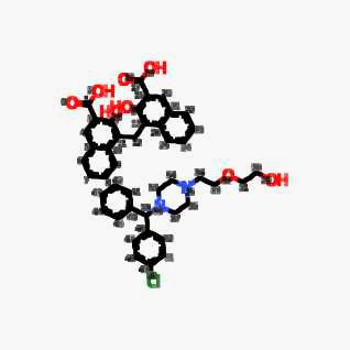 O=C(O)c1cc2ccccc2c(Cc2c(O)c(C(=O)O)cc3ccccc23)c1O.OCCOCCN1CCN(C(c2ccccc2)c2ccc(Cl)cc2)CC1